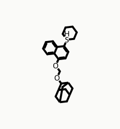 c1ccc2c([SH]3CCCCC3)ccc(OCOC3C4CC5CC(C4)CC3C5)c2c1